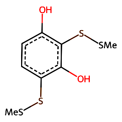 CSSc1ccc(O)c(SSC)c1O